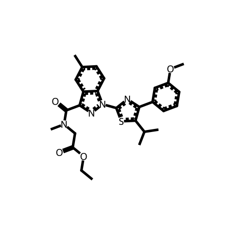 CCOC(=O)CN(C)C(=O)c1nn(-c2nc(-c3cccc(OC)c3)c(C(C)C)s2)c2ccc(C)cc12